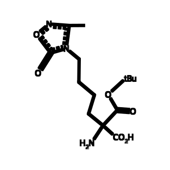 Cc1noc(=O)n1CCCCC(N)(C(=O)O)C(=O)OC(C)(C)C